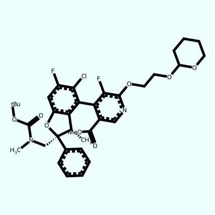 COC(=O)c1cnc(OCCOC2CCCCO2)c(F)c1-c1c(Cl)c(F)cc2c1[C@H](C)[C@@](CN(C)C(=O)OC(C)(C)C)(c1ccccc1)O2